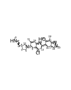 CNSSC1CCN(c2cc3c(Cl)cc(-c4cc5cn(C)nc5c(C)c4O)nc3cc2C)C1